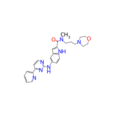 CN(CCCN1CCOCC1)C(=O)c1cc2cc(Nc3nccc(-c4ccccn4)n3)ccc2[nH]1